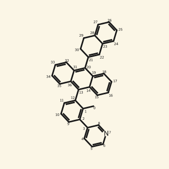 Cc1c(-c2cccnc2)cccc1-c1c2ccccc2c(C2=Cc3ccccc3CC2)c2ccccc12